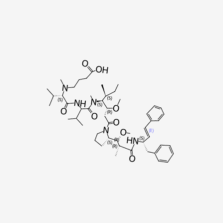 CC[C@H](C)[C@@H]([C@@H](CC(=O)N1CCC[C@H]1[C@H](OC)[C@@H](C)C(=O)N[C@H](/C=C/c1ccccc1)Cc1ccccc1)OC)N(C)C(=O)C(NC(=O)[C@H](C(C)C)N(C)CCCC(=O)O)C(C)C